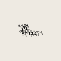 CCN(Cc1cccc(-c2ccc3c(n2)n(C)c(=O)n3CC(C)(C)C)c1)C(=O)O